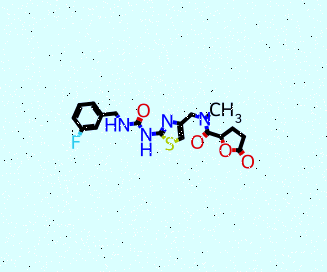 CN(Cc1csc(NC(=O)NCc2cccc(F)c2)n1)C(=O)C1CCC(=O)O1